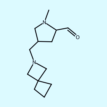 CN1CC(CN2CC3(CCC3)C2)CC1C=O